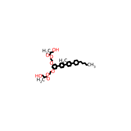 C=C(CO)C(=O)OCCOc1cc(OCCOC(=O)C(=C)CO)cc(-c2ccc(-c3ccc(C4CCC(CCCCC)CC4)cc3C)cc2)c1